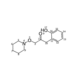 O=C(CON1CCCCC1)Cc1ccccc1O